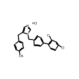 Cl.N#Cc1ccc(Cc2cncn2Cc2ccc(-c3ccc(Cl)cc3Cl)cc2)cc1